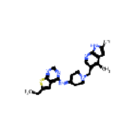 Cc1c(CN2CCC(Nc3ncnc4sc(CC(F)(F)F)cc34)CC2)cnc2[nH]c(C#N)cc12